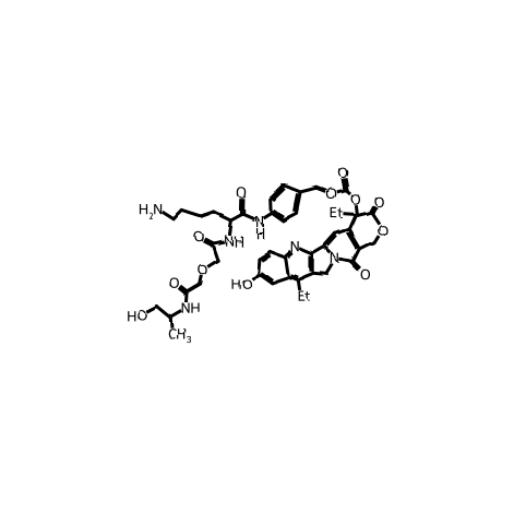 CCc1c2c(nc3ccc(O)cc13)-c1cc3c(c(=O)n1C2)COC(=O)C3(CC)OC(=O)OCc1ccc(NC(=O)C(CCCCN)NC(=O)COCC(=O)NC(C)CO)cc1